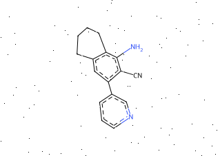 N#Cc1c(-c2cccnc2)cc2c(c1N)CCCC2